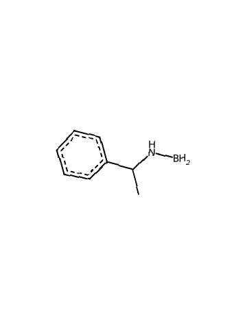 BNC(C)c1ccccc1